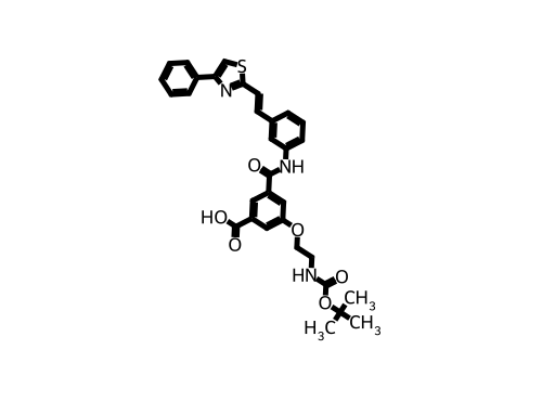 CC(C)(C)OC(=O)NCCOc1cc(C(=O)O)cc(C(=O)Nc2cccc(C=Cc3nc(-c4ccccc4)cs3)c2)c1